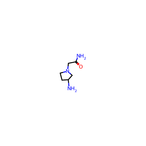 NC(=O)CN1CCC(N)C1